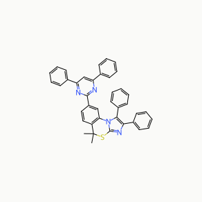 CC1(C)Sc2nc(-c3ccccc3)c(-c3ccccc3)n2-c2cc(-c3nc(-c4ccccc4)cc(-c4ccccc4)n3)ccc21